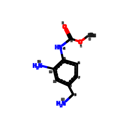 CC(C)(C)OC(=O)Nc1ccc(CN)cc1N